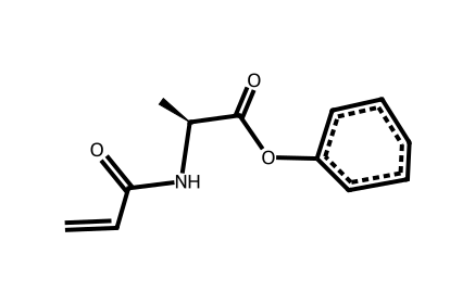 C=CC(=O)N[C@@H](C)C(=O)Oc1ccccc1